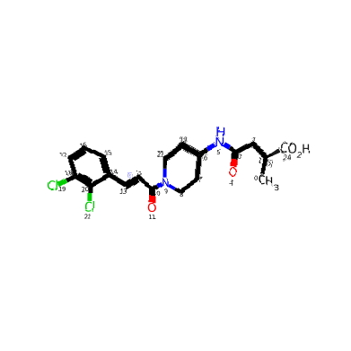 C[C@@H](CC(=O)NC1CCN(C(=O)/C=C/c2cccc(Cl)c2Cl)CC1)C(=O)O